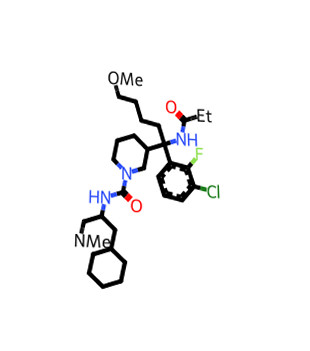 CCC(=O)NC(CCCCOC)(c1cccc(Cl)c1F)C1CCCN(C(=O)NC(CNC)CC2CCCCC2)C1